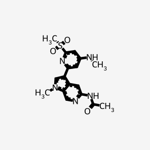 CNc1cc(-c2cn(C)c3cnc(NC(C)=O)cc23)nc(S(C)(=O)=O)c1